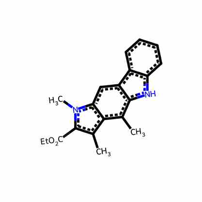 CCOC(=O)c1c(C)c2c(C)c3[nH]c4ccccc4c3cc2n1C